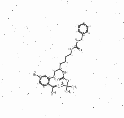 CC(C)(C)OC(=O)NC(CCCCNC(=O)OCc1ccccc1)COc1cc(Br)ccc1C(=O)O